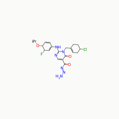 CC(C)OC1C=CC(Nc2ncc(C(=O)N=NN)c(=O)n2CC2=CCC(Cl)CC2)=CC1F